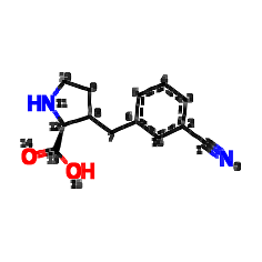 N#Cc1cccc(CC2CCN[C@@H]2C(=O)O)c1